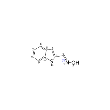 O/N=C/c1cc2ccccc2s1